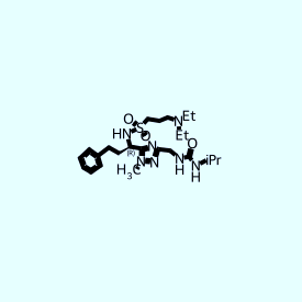 CCN(CC)CCCS(=O)(=O)N[C@H](CCc1ccccc1)c1nc(CNC(=O)NC(C)C)nn1C